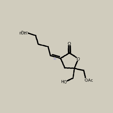 CCCCCCCCCCCCC/C=C1/CC(CO)(COC(C)=O)OC1=O